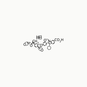 CN(C(=O)CN1CCOCC1)c1ccc(N2CCOCC2)c(COc2ccc3c(c2)OCCn2c-3c(C3CCCCC3)c3ccc(C(=O)O)cc32)c1.Cl.Cl